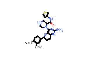 COc1ccc(-c2ccc3nc(N)nc(N4CCNCC4C(=O)Nc4ccsc4)c3n2)cc1OC